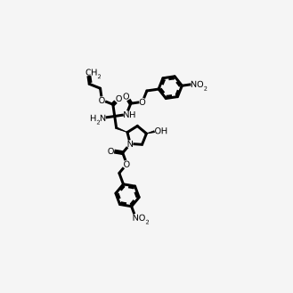 C=CCOC(=O)C(N)(C[C@H]1C[C@@H](O)CN1C(=O)OCc1ccc([N+](=O)[O-])cc1)NC(=O)OCc1ccc([N+](=O)[O-])cc1